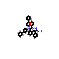 N=C/C(=C1\NC(c2ccccc2)=C(N(c2ccc(-c3ccccc3)cc2)c2ccc(-c3ccccc3)cc2)c2ccccc21)c1ccccc1